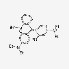 CCN(CC)c1ccc2c(-c3ccccc3C(=O)C(C)C)c3ccc(=[N+](CC)CC)cc-3oc2c1